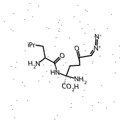 CC(C)CC(N)C(=O)N[C@](N)(CCC(=O)C=[N+]=[N-])C(=O)O